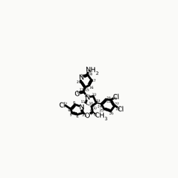 C[C@@H](Oc1ccc(Cl)cn1)[C@@H]1CN(C(=O)c2ccc(N)nc2)C[C@H]1c1ccc(Cl)c(Cl)c1